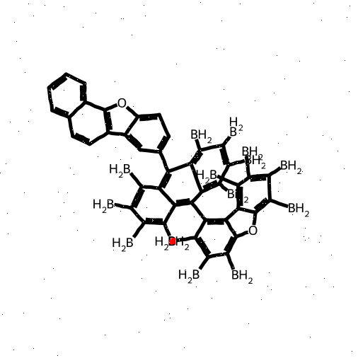 Bc1c(B)c(B)c2c(oc3c(B)c(B)c(B)c(-c4c5c(B)c(B)c(B)c(B)c5c(-c5ccc6oc7c8ccccc8ccc7c6c5)c5c(B)c(B)c(B)c(B)c45)c32)c1B